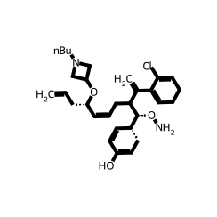 C=CC[C@@H](/C=C\CC(C(=C)C1=CCCC=C1Cl)[C@H](ON)[C@H]1C=CC(O)=CC1)OC1CN(CCCC)C1